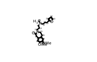 COc1cc2c(cc1OC)CC(=O)N(CCCN(C)CCCc1ccco1)CC2